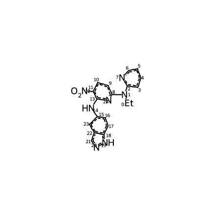 CCN(c1ccccn1)c1ccc([N+](=O)[O-])c(Nc2ccc3[nH]ncc3c2)n1